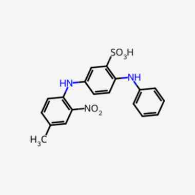 Cc1ccc(Nc2ccc(Nc3ccccc3)c(S(=O)(=O)O)c2)c([N+](=O)[O-])c1